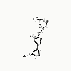 CC(=O)Nc1cc(-c2ccc(OCC(CC(C)C)OC(N)=O)c(Cl)c2)ccn1